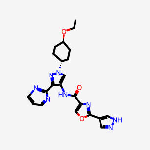 CCO[C@H]1CC[C@H](n2cc(NC(=O)c3coc(-c4cn[nH]c4)n3)c(-c3ncccn3)n2)CC1